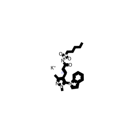 CCCCCS(=O)(=O)[N-]C(=O)/C=C/c1c(C)nn(C)c1-n1ccc2ccccc21.[K+]